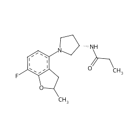 CCC(=O)N[C@H]1CCN(c2ccc(F)c3c2CC(C)O3)C1